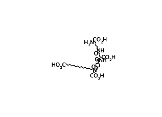 N[C@@H](CCCCNC(=O)CC[C@@H](NC(=O)c1ccc(CN(CCC(=O)O)C(=O)CCCCCCCCCCCCCCC(=O)O)cc1)C(=O)O)C(=O)O